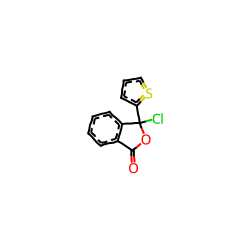 O=C1OC(Cl)(c2cccs2)c2ccccc21